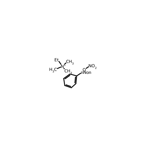 CCCCCCCCCc1ccccc1.CC[N+](C)(C)C.O=[N+]([O-])[O-]